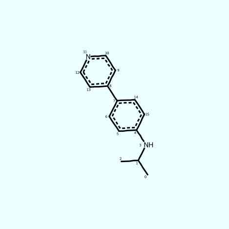 CC(C)Nc1ccc(-c2ccncc2)cc1